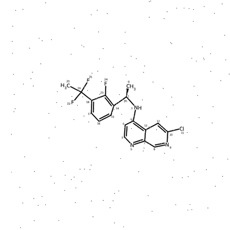 C[C@@H](Nc1ccnc2cnc(Cl)cc12)c1cccc(C(C)(F)F)c1F